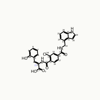 O=C(O)/C(=C/c1ccccc1O)NC(=O)c1ccc(C(=O)NCc2cccc3[nH]ccc23)cc1Cl